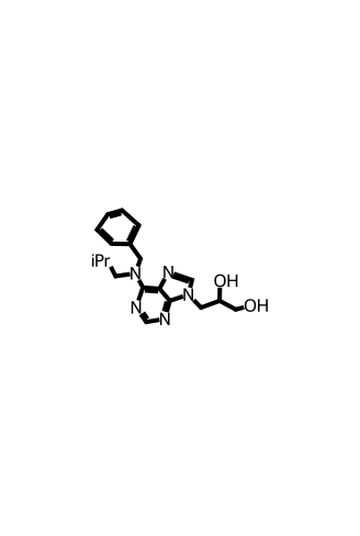 CC(C)CN(Cc1ccccc1)c1ncnc2c1ncn2CC(O)CO